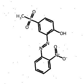 CS(=O)(=O)c1ccc(O)c(N=Nc2ccccc2[N+](=O)[O-])c1